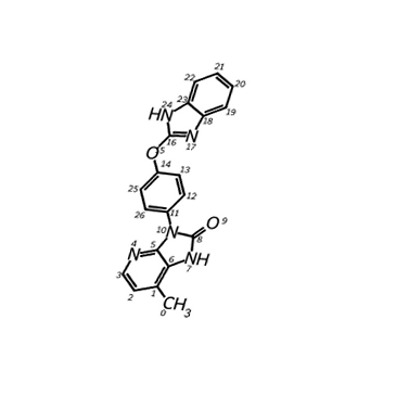 Cc1ccnc2c1[nH]c(=O)n2-c1ccc(Oc2nc3ccccc3[nH]2)cc1